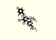 Cc1nc(CN)ncc1-n1c(C)nc(OCc2ccc(F)cc2F)c(Br)c1=O